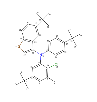 Cc1cc(C(C)(C)C)cc(N(c2ccc(C(C)(C)C)cc2)c2csc3ccc(C(C)(C)C)cc23)c1Cl